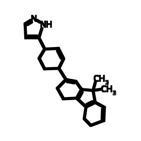 CC1(C)C2=C(CCC=C2)C2=C1C=C(C1C=CC(c3ccn[nH]3)CC1)CC2